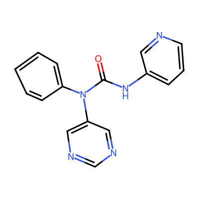 O=C(Nc1cccnc1)N(c1ccccc1)c1cncnc1